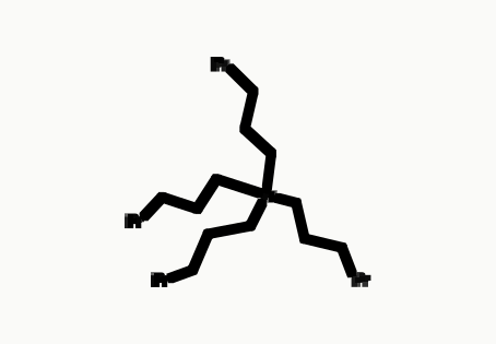 CC(C)CC[CH2][Zr]([CH2]CCC(C)C)([CH2]CCC(C)C)[CH2]CCC(C)C